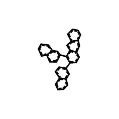 c1ccc2cc(-c3ccc4cc5ccccc5cc4c3-c3ccc4ccccc4c3)ccc2c1